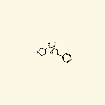 CN1CC[C@@H](NS(=O)(=O)/C=C/c2ccccc2)C1